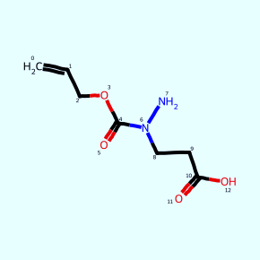 C=CCOC(=O)N(N)CCC(=O)O